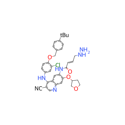 CC(C)(C)c1ccc(COc2ccc(Nc3c(C#N)cnc4cc(OC5CCOC5)c(NC(=O)/C=C/CNN)cc34)cc2Cl)cc1